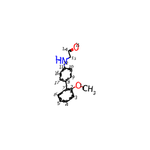 COc1ccccc1-c1ccc(NCC=O)cc1